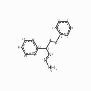 NN=NC(CCc1ccccc1)c1ccccc1